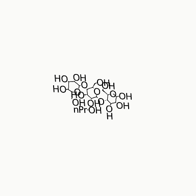 OC[C@H]1O[C@@H](O[C@H]2[C@H](O)[C@@H](O)[C@H](O[C@H]3[C@H](O)[C@@H](O)C(O)O[C@@H]3CO)O[C@@H]2CO)[C@H](O)[C@@H](O)[C@@H]1O.[CH2]CCO